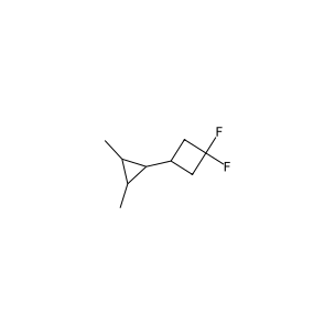 CC1C(C)C1C1CC(F)(F)C1